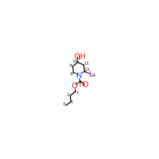 CCCCOC(=O)N1CCC(O)CC1I